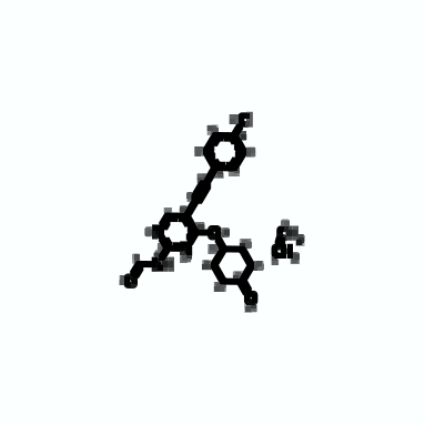 C=C.O=CNc1ncc(C#Cc2ccc(Cl)cc2)c(OC2CCC(=O)CC2)n1